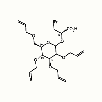 C=CCOC[C@H]1OC(O[C@@H](CC(C)C)C(=O)O)C(OCC=C)[C@@H](OCC=C)[C@@H]1OCC=C